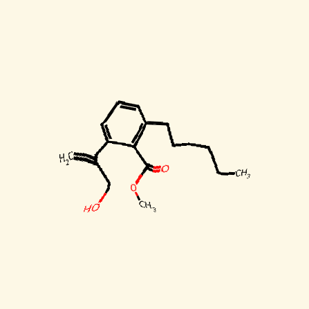 C=C(CO)c1cccc(CCCCC)c1C(=O)OC